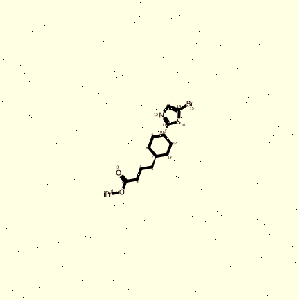 CC(C)OC(=O)CCC[C@H]1CC[C@H](c2ncc(Br)s2)CC1